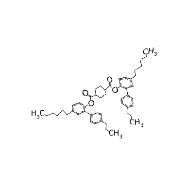 CCCCCCc1ccc(OC(=O)C2CCC(C(=O)Oc3ccc(CCCCCC)cc3-c3ccc(CCC)cc3)CC2)c(-c2ccc(CCC)cc2)c1